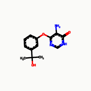 CC(C)(O)c1cccc(Oc2nc[nH]c(=O)c2N)c1